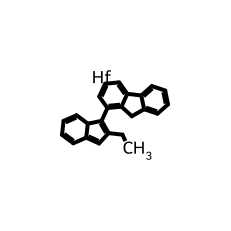 CCC1=C(c2cccc3c2Cc2ccccc2-3)C2C=CC=CC2=C1.[Hf]